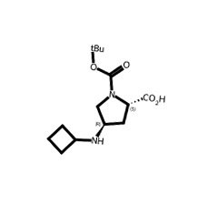 CC(C)(C)OC(=O)N1C[C@H](NC2CCC2)C[C@H]1C(=O)O